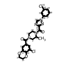 CC1CN(C(=O)c2cc(Cl)c3c(c2)OCCO3)CCN1C(=O)c1ncn(-c2cccc(Cl)c2)n1